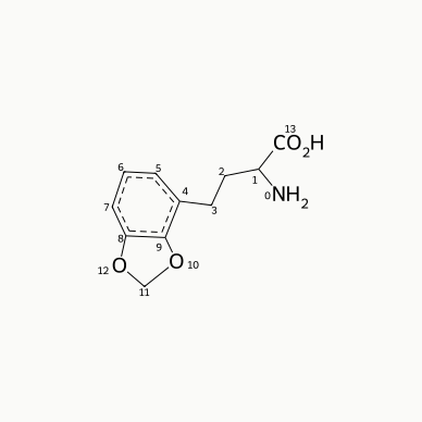 NC(CCc1cccc2c1OCO2)C(=O)O